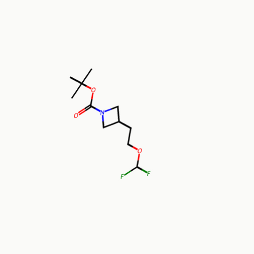 CC(C)(C)OC(=O)N1CC(CCOC(F)F)C1